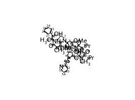 CC[C@H](C)[C@@H]([C@@H](CC(=O)N1CCC[C@H]1[C@H](OC)[C@@H](C)C(=O)N[C@H](C)[C@@H](O)c1ccccc1)OC)N(C)C(=O)[C@@H](NC(=O)[C@H](C(C)C)N(C)C(=O)O[C@@H]1CCC[C@H]1SSc1ccccn1)C(C)C